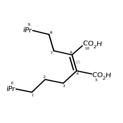 CC(C)CCC/C(C(=O)O)=C(\CCC(C)C)C(=O)O